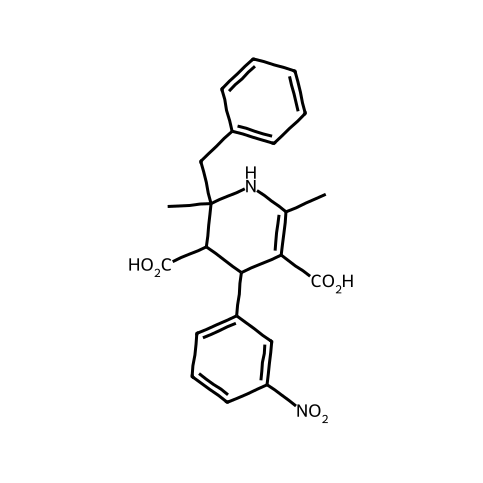 CC1=C(C(=O)O)C(c2cccc([N+](=O)[O-])c2)C(C(=O)O)C(C)(Cc2ccccc2)N1